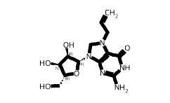 C=CCN1CN([C@@H]2O[C@H](CO)[C@@H](O)[C@H]2O)c2nc(N)[nH]c(=O)c21